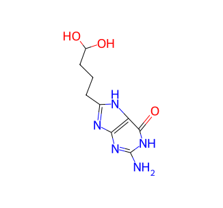 Nc1nc2nc(CCCC(O)O)[nH]c2c(=O)[nH]1